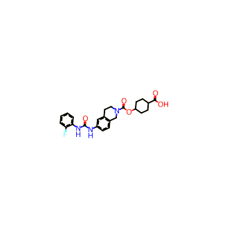 O=C(Nc1ccc2c(c1)CCN(C(=O)OC1CCC(C(=O)O)CC1)C2)Nc1ccccc1F